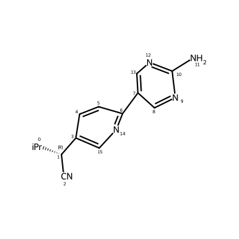 CC(C)[C@@H](C#N)c1ccc(-c2cnc(N)nc2)nc1